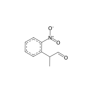 CC(C=O)c1ccccc1[N+](=O)[O-]